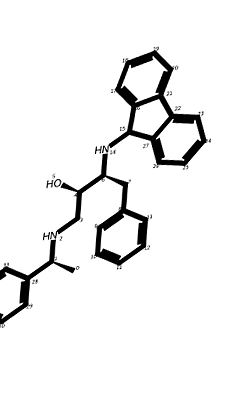 C[C@H](NC[C@@H](O)[C@H](Cc1ccccc1)NC1c2ccccc2-c2ccccc21)c1ccccc1